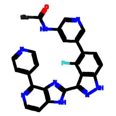 CC(C)(C)C(=O)Nc1cncc(-c2ccc3[nH]nc(-c4nc5c(-c6ccncc6)nccc5[nH]4)c3c2F)c1